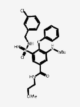 CCCCNc1cc(C(=O)NCCOC)cc(S(=N)(=O)NCc2cccc(Cl)c2)c1Oc1ccccc1